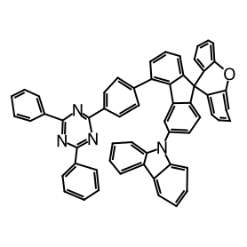 c1ccc(-c2nc(-c3ccccc3)nc(-c3ccc(-c4cccc5c4-c4cc(-n6c7ccccc7c7ccccc76)ccc4C54c5ccccc5Oc5ccccc54)cc3)n2)cc1